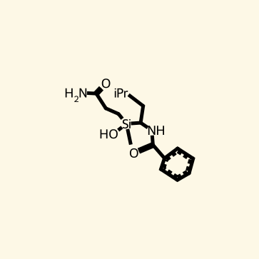 CC(C)CC(NC(=O)c1ccccc1)[Si](C)(O)CCC(N)=O